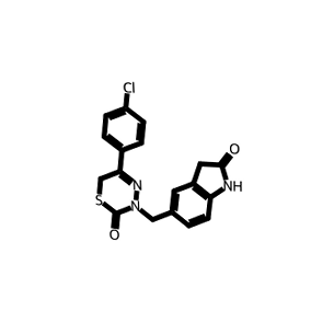 O=C1Cc2cc(CN3N=C(c4ccc(Cl)cc4)CSC3=O)ccc2N1